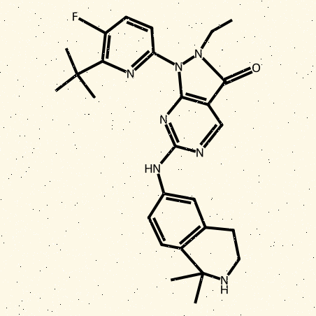 CCn1c(=O)c2cnc(Nc3ccc4c(c3)CCNC4(C)C)nc2n1-c1ccc(F)c(C(C)(C)C)n1